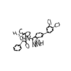 CC(=O)OC(C(=O)Nc1n[nH]c2cc(-c3ccc(Cl)c(Cl)c3)ccc12)c1ccccc1